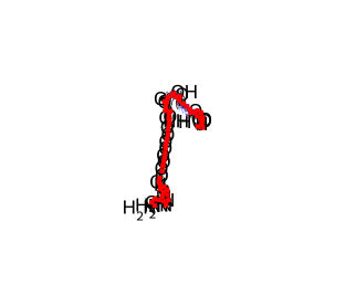 CO[C@@H](CC1CCCC(=O)C(O)(C(=O)N2CCCCC2)O1)/C(C)=C/C=C/C=C/[C@@H](C)C[C@@H](C)C(=O)C[C@H](O)/C(C)=C/[C@@H](C)CC[C@@H](CC[C@H]1CC[C@H](OC(=O)NCCOCCOCCOCCOCCOCCOCCOCCOCCC(=O)N2CCc3cc(Cn4nc(-c5ccc6oc(N)nc6c5)c5c(N)ncnc54)ccc3C2)CC1)OC=O